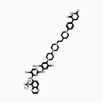 CCc1cc(Nc2ncc(Br)c(Nc3ccc4nccnc4c3P(C)(C)=O)n2)c(OC)cc1N1CCC(N2CCN(CCC3CCN(c4ccc(C5CCC(=O)NC5=O)cc4)CC3)CC2)CC1